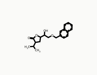 CC(C)C1CC(C(O)COCc2ccc3ccccc3c2)OC1=O